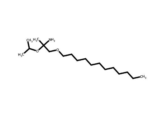 CCCCCCCCCCCCOCC(C)(N)OC(C)C